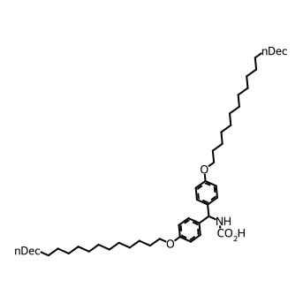 CCCCCCCCCCCCCCCCCCCCCCOc1ccc(C(NC(=O)O)c2ccc(OCCCCCCCCCCCCCCCCCCCCCC)cc2)cc1